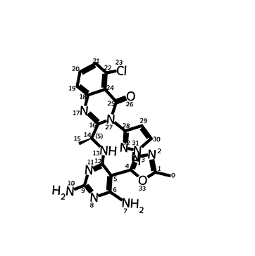 Cc1nnc(-c2c(N)nc(N)nc2N[C@@H](C)c2nc3cccc(Cl)c3c(=O)n2-c2cc[nH]n2)o1